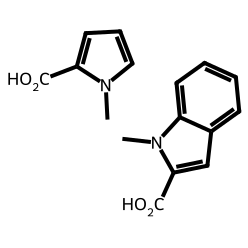 Cn1c(C(=O)O)cc2ccccc21.Cn1cccc1C(=O)O